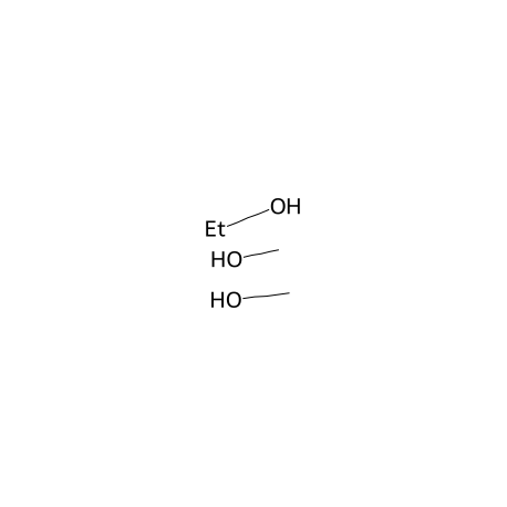 CCO.CO.CO